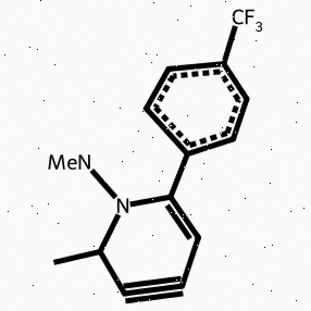 CNN1C(c2ccc(C(F)(F)F)cc2)=CC#CC1C